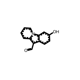 O=Cc1c2ccc(O)cc2n2ccccc12